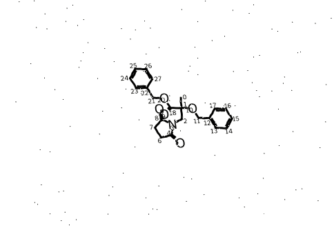 CC(CN1C(=O)CCC1=O)(OCc1ccccc1)C(=O)OCc1ccccc1